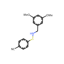 COc1cc(CNSc2ccc(C#N)cc2)cc(OC)c1